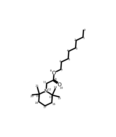 CCCCCCCCOC(=O)CN1C(C)(C)CCCC1(C)C